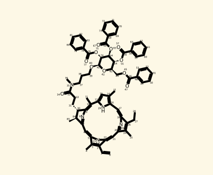 C=Cc1c(C)c2cc3nc(c(C)c4cc(C)c(cc5nc(cc1[nH]2)C(C)=C5CC)[nH]4)[C@@H](CCC(=O)N(C)CCCO[C@@H]1O[C@H](COC(=O)c2ccccc2)[C@@H](OC(=O)c2ccccc2)[C@H](OC(=O)c2ccccc2)[C@H]1OC(=O)c1ccccc1)[C@@H]3C